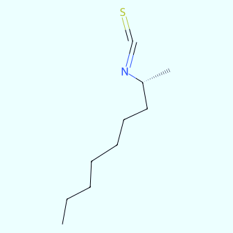 CCCCCCC[C@@H](C)N=C=S